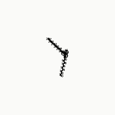 CCCCCCCCCCCCOP(OC)OCCCCCCCCCCCC